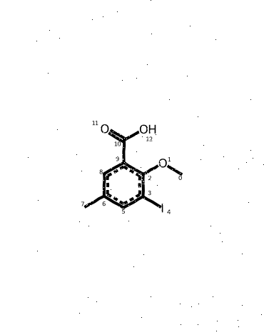 COc1c(I)cc(C)cc1C(=O)O